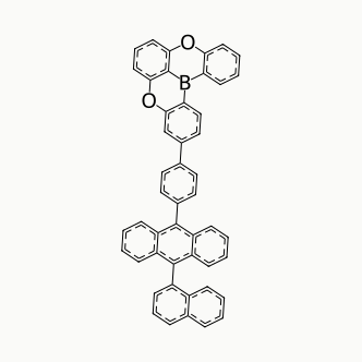 c1ccc2c(c1)Oc1cccc3c1B2c1ccc(-c2ccc(-c4c5ccccc5c(-c5cccc6ccccc56)c5ccccc45)cc2)cc1O3